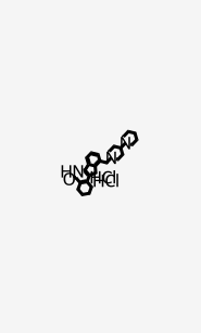 Cl.Cl.O=c1[nH]c2c(c3c1CCCC3)Cc1c(CN3CCC(N4CCCCC4)CC3)cccc1-2